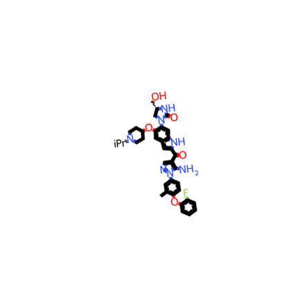 Cc1cc(-n2ncc(C(=O)c3cc4cc(OC5CCN(C(C)C)CC5)c(N5C[C@H](CO)NC5=O)cc4[nH]3)c2N)ccc1Oc1ccccc1F